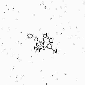 CCn1c(COCc2ccccc2)nc(C(F)(F)F)c1Sc1cc(Cl)cc(C#N)c1